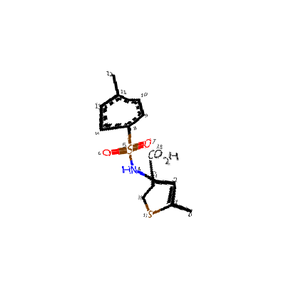 CC1=CC(NS(=O)(=O)c2ccc(C)cc2)(C(=O)O)CS1